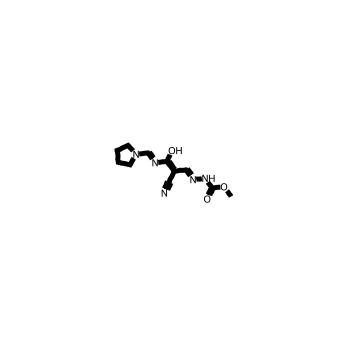 COC(=O)NN=CC(C#N)=C(O)N=CN1CCCC1